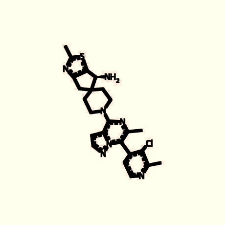 Cc1nc2c(s1)[C@@H](N)C1(CCN(c3nc(C)c(-c4ccnc(C)c4Cl)n4nccc34)CC1)C2